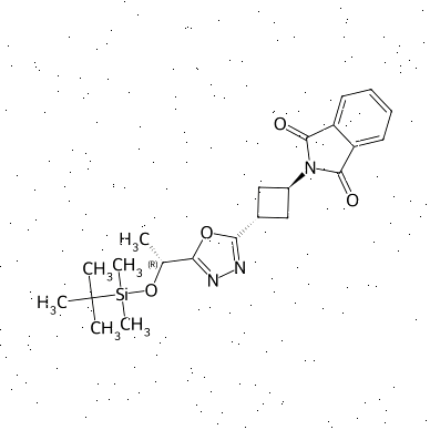 C[C@@H](O[Si](C)(C)C(C)(C)C)c1nnc([C@H]2C[C@H](N3C(=O)c4ccccc4C3=O)C2)o1